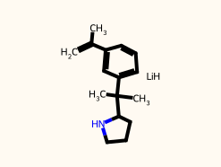 C=C(C)c1cccc(C(C)(C)C2CCCN2)c1.[LiH]